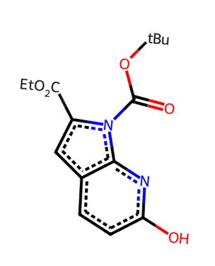 CCOC(=O)c1cc2ccc(O)nc2n1C(=O)OC(C)(C)C